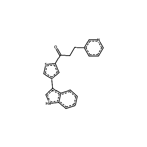 O=C(CCc1cccnc1)c1cc(-c2c[nH]c3ccccc23)cs1